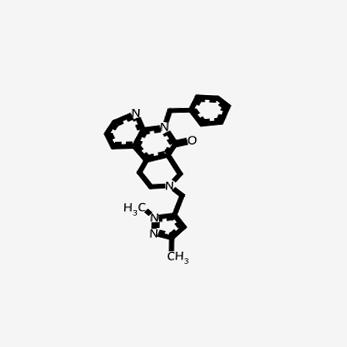 Cc1cc(CN2CCc3c(c(=O)n(Cc4ccccc4)c4ncccc34)C2)n(C)n1